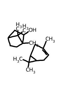 CC1(C)C2CCC1(C)C(O)C2.CC1=CCC2C(C1)C2(C)C